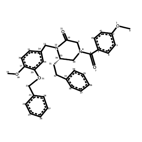 COc1ccc(C(=O)N2CC(=O)N(Cc3ccc(OC)c(OCc4ccccc4)c3)[C@@H](CCc3ccccc3)C2)cc1